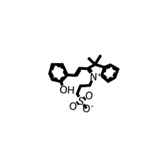 CC1(C)C(C=Cc2ccccc2O)=[N+](CCCS(=O)(=O)[O-])c2ccccc21